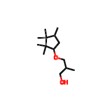 CC(CO)COC1CC(C)C(C)(C)C1(C)C